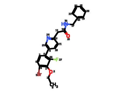 CCOc1c(Br)ccc(-c2ccc(CC(=O)NCc3ccccc3)nc2)c1F